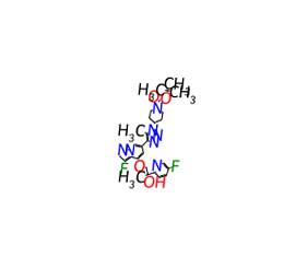 Cc1c(-c2cc(OCC(C)(O)c3ccc(F)cn3)c3c(F)cnn3c2)nnn1C1CCN(C(=O)OC(C)(C)C)CC1